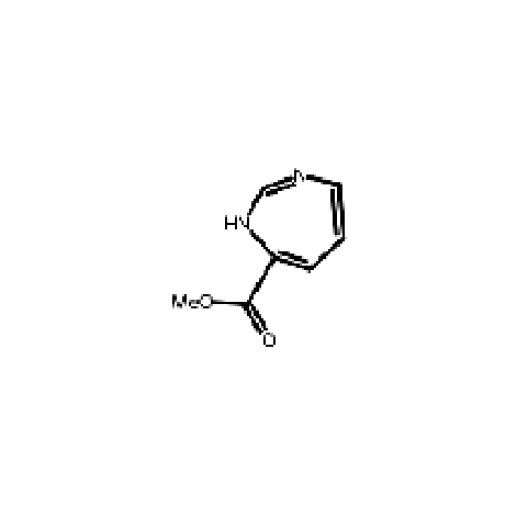 COC(=O)C1=CC=CN=CN1